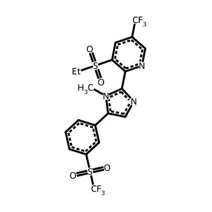 CCS(=O)(=O)c1cc(C(F)(F)F)cnc1-c1ncc(-c2cccc(S(=O)(=O)C(F)(F)F)c2)n1C